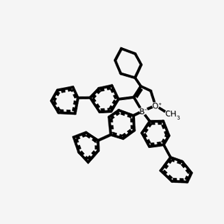 C[O+]1CC(C2CCCCC2)=C(c2ccc(-c3ccccc3)cc2)[B-]1(c1ccc(-c2ccccc2)cc1)c1ccc(-c2ccccc2)cc1